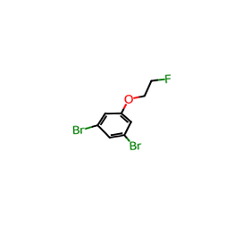 FCCOc1cc(Br)cc(Br)c1